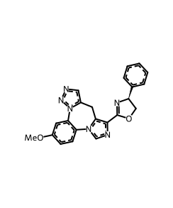 COc1ccc2c(c1)-n1nncc1Cc1c(C3=N[C@@H](c4ccccc4)CO3)ncn1-2